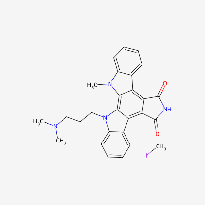 CI.CN(C)CCCn1c2ccccc2c2c3c(c4c5ccccc5n(C)c4c21)C(=O)NC3=O